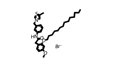 CCCCCCCCCCCCCCOc1cc(OC)ccc1CC(=O)Nc1cccc(C[n+]2csc(C)c2)c1.[Br-]